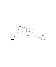 Cc1ccc(CNc2nc(Nc3cccc(NC(=O)C(N)Cc4ccccc4)c3)ncc2Br)cc1C